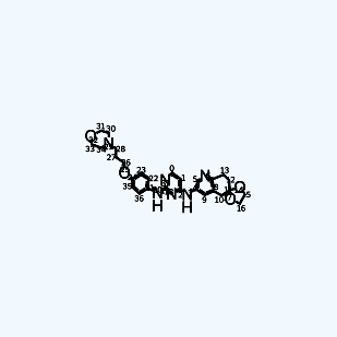 c1cc(Nc2cnc3c(c2)CC2(CC3)OCCO2)nc(Nc2ccc(OCCCN3CCOCC3)cc2)n1